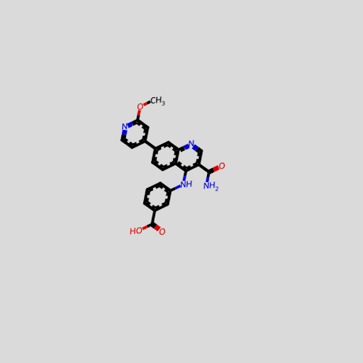 COc1cc(-c2ccc3c(Nc4cccc(C(=O)O)c4)c(C(N)=O)cnc3c2)ccn1